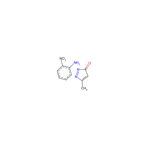 CC1=CC(=O)N=N1.Nc1ccccc1[N+](=O)[O-]